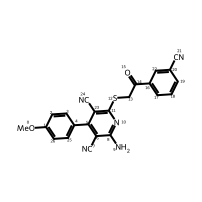 COc1ccc(-c2c(C#N)c(N)nc(SCC(=O)c3cccc(C#N)c3)c2C#N)cc1